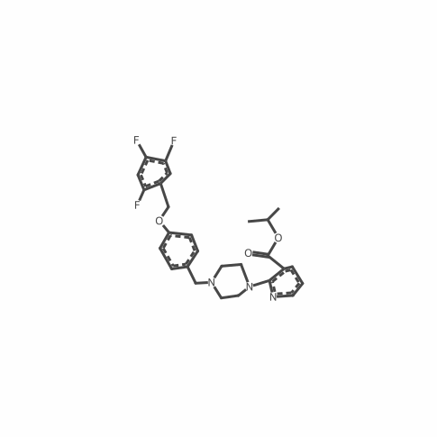 CC(C)OC(=O)c1cccnc1N1CCN(Cc2ccc(OCc3cc(F)c(F)cc3F)cc2)CC1